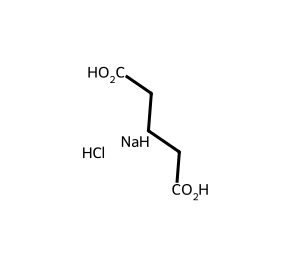 Cl.O=C(O)CCCC(=O)O.[NaH]